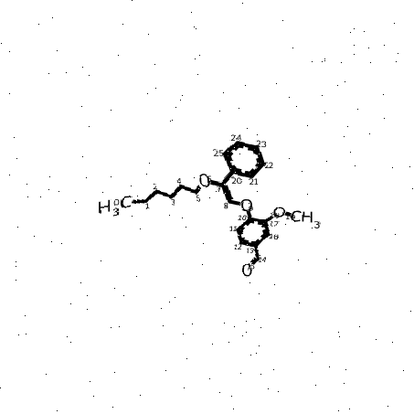 CCCCCCO/C(=C/Oc1ccc(C=O)cc1OC)c1ccccc1